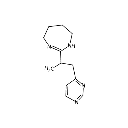 CC(Cc1ccncn1)C1=NCCCCN1